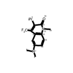 CC(C)c1c(C(F)(F)F)c2cc(N(C)C)ccc2n(C)c1=O